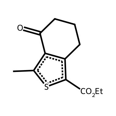 CCOC(=O)c1sc(C)c2c1CCCC2=O